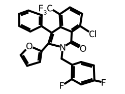 O=c1c2c(Cl)ccc(C(F)(F)F)c2c(-c2ccccc2)c(-c2ccco2)n1Cc1ccc(F)cc1F